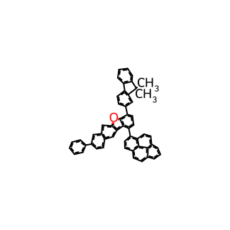 CC1(C)c2ccccc2-c2ccc(-c3ccc(-c4ccc5ccc6cccc7ccc4c5c67)c4c3oc3cc5cc(-c6ccccc6)ccc5cc34)cc21